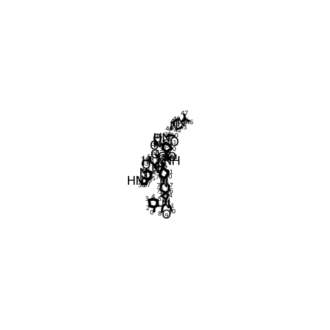 Cc1ccccc1[C@@H]1COCCN1C1CC2(CCN(c3ccc(C(=O)NS(=O)(=O)c4cc5c(c([N+](=O)[O-])c4)N[C@H](CN4CCN(C(C)C)CC4)CO5)c(N4c5cc6cc[nH]c6nc5O[C@H]5COCC[C@@H]54)c3)CC2)C1